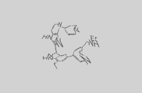 CCNCc1cncc(-c2cc(F)c3[nH]nc(-c4nc5c(-c6ccncc6)nccc5[nH]4)c3c2)c1